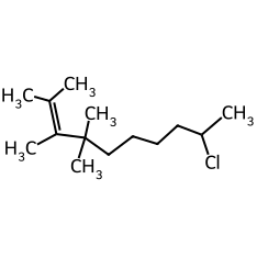 CC(C)=C(C)C(C)(C)CCCCC(C)Cl